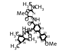 COC(=O)[C@H](CC(=O)N(C)C)NC(=O)c1ccc(-c2ccc(OC)cc2)cc1NC(=O)Nc1c(C)cc(C)cc1C